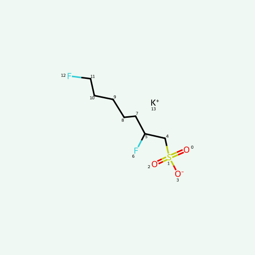 O=S(=O)([O-])CC(F)CCCCCF.[K+]